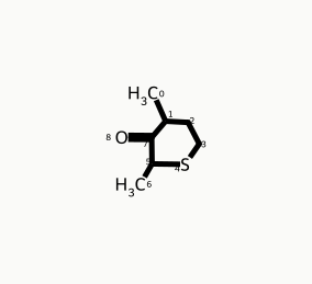 CC1CCSC(C)C1=O